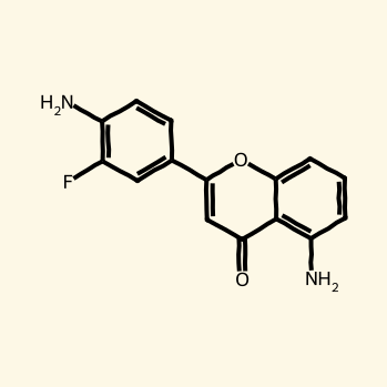 Nc1ccc(-c2cc(=O)c3c(N)cccc3o2)cc1F